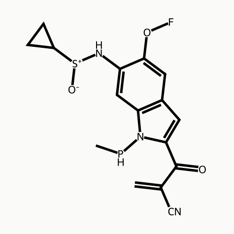 C=C(C#N)C(=O)c1cc2cc(OF)c(N[S+]([O-])C3CC3)cc2n1PC